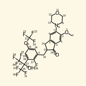 COc1cc2c(cc1N1CCOCC1)CC(Cc1cc(OC(F)(F)F)cc(C(O)(C(F)(F)F)C(F)(F)F)c1F)C2=O